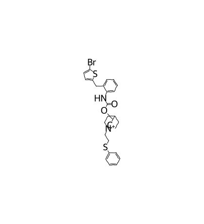 O=C(Nc1ccccc1Cc1ccc(Br)s1)OC1C[N+]2(CCSc3ccccc3)CCC1CC2